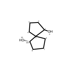 OC1CCCC12CCC[C@@H]2O